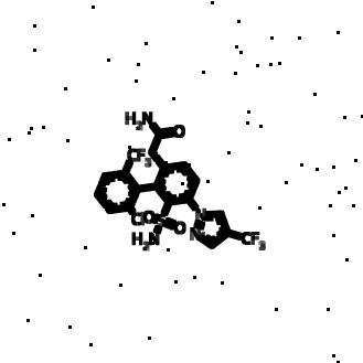 NC(=O)Cc1ccc(-n2cc(C(F)(F)F)cn2)c(S(N)(=O)=O)c1-c1c(Cl)cccc1C(F)(F)F